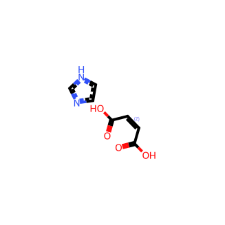 O=C(O)/C=C\C(=O)O.c1c[nH]cn1